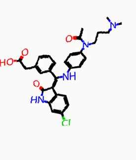 CC(=O)N(CCCN(C)C)c1ccc(NC(=C2C(=O)Nc3cc(Cl)ccc32)c2cccc(CC(=O)O)c2)cc1